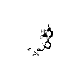 CC(C)(C)[Si](C)(C)OC[C@@H]1CCC(n2ccc(=O)[nH]c2=O)O1